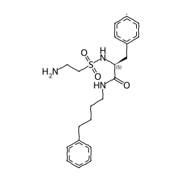 NCCS(=O)(=O)N[C@@H](Cc1cc[c]cc1)C(=O)NCCCCc1ccccc1